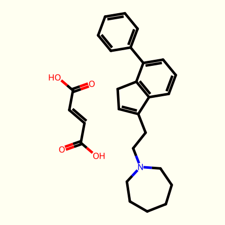 C1=C(CCN2CCCCCC2)c2cccc(-c3ccccc3)c2C1.O=C(O)C=CC(=O)O